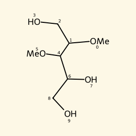 COC(CO)C(OC)C(O)CO